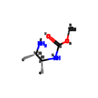 C[C@H](N)[C@@H](C)NC(=O)OC(C)(C)C